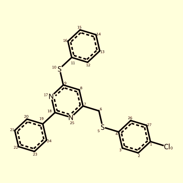 Clc1ccc(SCc2cc(Sc3ccccc3)nc(-c3ccccc3)n2)cc1